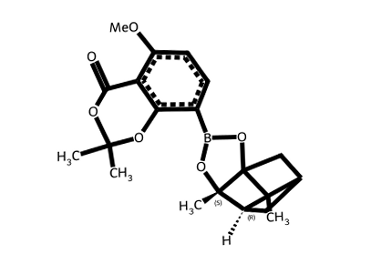 COc1ccc(B2OC34CC5C[C@H](C53C)[C@]4(C)O2)c2c1C(=O)OC(C)(C)O2